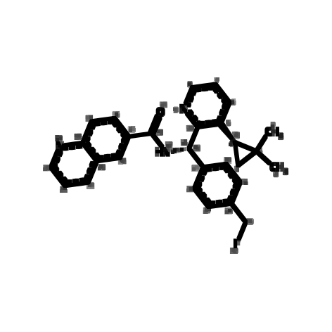 CC1(C)C[C@H]1c1cccnc1[C@@H](NC(=O)c1ccc2ncccc2c1)c1ccc(CF)cc1